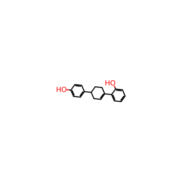 Oc1ccc(C2CC=C(c3ccccc3O)CC2)cc1